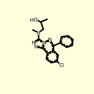 CC(O)CN(C)c1nnc2c3ccc(Cl)cc3c(-c3ccccc3)nn12